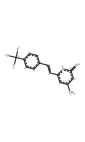 Cc1cc(/C=C/c2ccc(C(F)(F)F)cc2)oc(=O)c1